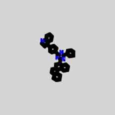 c1ccc(-c2nc(-c3ccc(-c4ccnc5ccccc45)cc3)nc(-c3cc4ccc5ccccc5c4c4ccccc34)n2)cc1